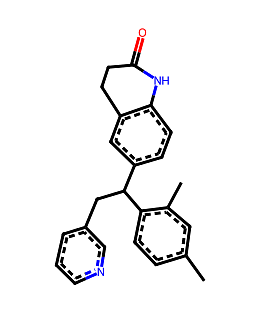 Cc1ccc(C(Cc2cccnc2)c2ccc3c(c2)CCC(=O)N3)c(C)c1